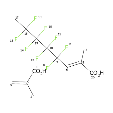 C=C(C)C(=O)O.CC(=CC(F)(F)C(F)(F)C(F)(F)C(C)(F)F)C(=O)O